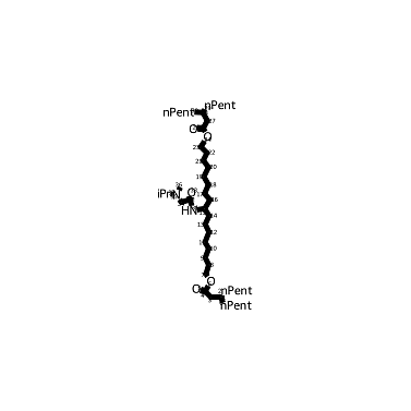 CCCCCC(CCCCC)CC(=O)OCCCCCCCCC(CCCCCCCCOC(=O)CC(CCCCC)CCCCC)NC(=O)CN(C)C(C)C